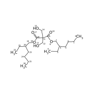 CCCCC(CC)COC(=O)C(CO)(CO)C(=O)OCC(CC)CCCC